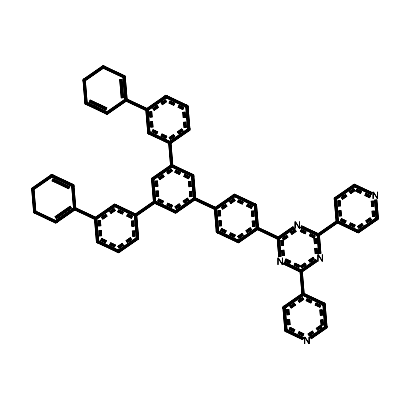 C1=CC(c2cccc(-c3cc(-c4ccc(-c5nc(-c6ccncc6)nc(-c6ccncc6)n5)cc4)cc(-c4cccc(C5=CCCC=C5)c4)c3)c2)=CCC1